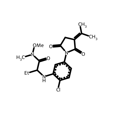 CCC(Nc1cc(N2C(=O)CC(=C(C)C)C2=O)ccc1Cl)C(=O)N(C)OC